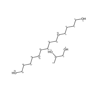 CC(O)CO.OCCCCOCCCCOCCCCO